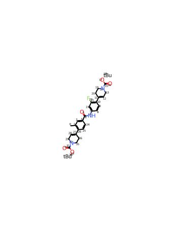 Cc1cc(C(=O)Nc2ccc(C3=CCN(C(=O)OC(C)(C)C)CC3)c(F)c2)ccc1C1=CCN(C(=O)OC(C)(C)C)CC1